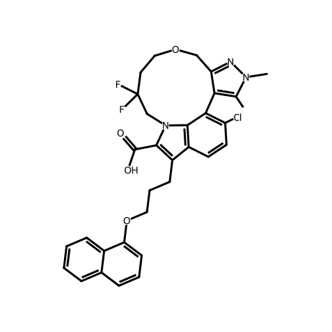 Cc1c2c(nn1C)COCCC(F)(F)Cn1c(C(=O)O)c(CCCOc3cccc4ccccc34)c3ccc(Cl)c-2c31